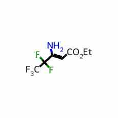 CCOC(=O)C=C(N)C(F)(F)C(F)(F)F